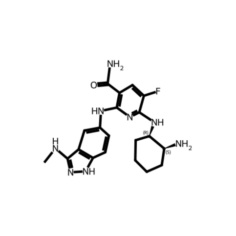 CNc1n[nH]c2ccc(Nc3nc(N[C@@H]4CCCC[C@@H]4N)c(F)cc3C(N)=O)cc12